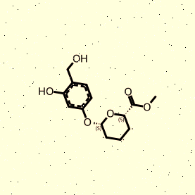 COC(=O)[C@@H]1[CH][CH][CH][C@H](Oc2ccc(CO)c(O)c2)O1